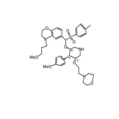 COCCCN1CCOc2ccc(C(O[C@H]3CNC[C@@H](OCCN4CCOCC4)[C@H]3c3ccc(OC)cc3)S(=O)(=O)c3ccc(C)cc3)cc21